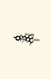 COC(=O)c1c(C(F)F)nc(C(F)(F)F)c(C(S)c2nc3cc(C)ccc3[nH]2)c1CC(C)C